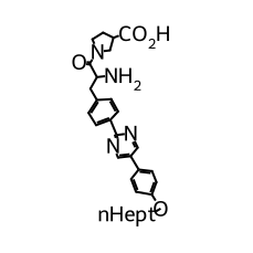 CCCCCCCOc1ccc(-c2cnc(-c3ccc(CC(N)C(=O)N4CCC(C(=O)O)C4)cc3)nc2)cc1